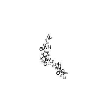 CN(C)CCCNC(=O)c1ccc2c(ccc(=O)n2CCCCCCNC(=O)OC(C)(C)C)c1